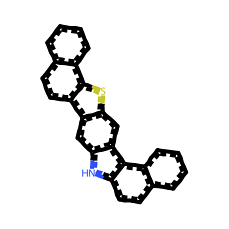 c1ccc2c(c1)ccc1c3cc4[nH]c5ccc6ccccc6c5c4cc3sc21